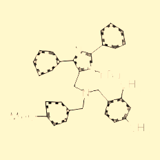 CCCCn1c(-c2ccccc2)nc(-c2ccccc2)c1CN(Cc1ccc(OC)cc1)Cc1ccc(C)cc1C